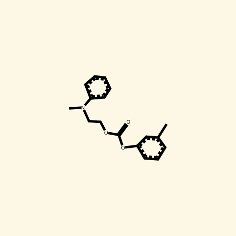 Cc1cccc(OC(=O)OCCN(C)c2ccccc2)c1